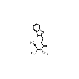 C#CC(C)N(C)C(=O)COc1nc2ccccc2s1